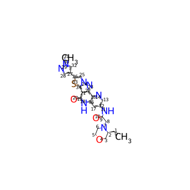 CC[C@H]1COCCN1CC(=O)Nc1cnc2c(c1)[nH]c(=O)c1c2nn2cc(-c3cnn(C)c3)sc12